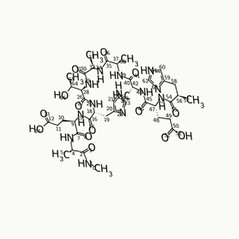 CNC(=O)[C@@H](C)NC(=O)[C@@H](CCC(=O)O)NC(=O)[C@@H](Cc1c[nH]cn1)NC(=O)[C@H](NC(=O)[C@@H](C)NC(=O)[C@@H](C)NC(=O)[C@@H](C)NC(=O)[C@@H](CCC(=O)O)NC(=O)[C@H](C)Cc1c[nH]cn1)[C@H](C)O